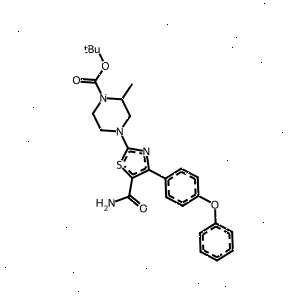 CC1CN(c2nc(-c3ccc(Oc4ccccc4)cc3)c(C(N)=O)s2)CCN1C(=O)OC(C)(C)C